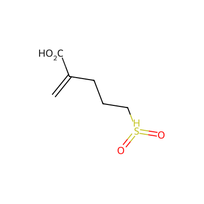 C=C(CCC[SH](=O)=O)C(=O)O